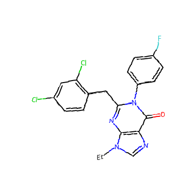 CCn1cnc2c(=O)n(-c3ccc(F)cc3)c(Cc3ccc(Cl)cc3Cl)nc21